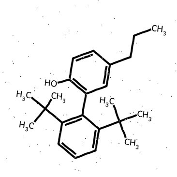 CCCc1ccc(O)c(-c2c(C(C)(C)C)cccc2C(C)(C)C)c1